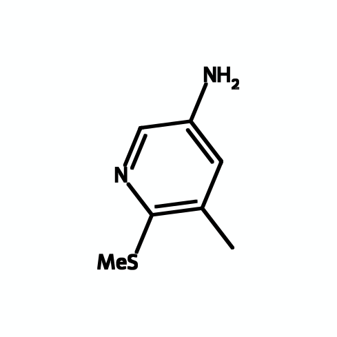 CSc1ncc(N)cc1C